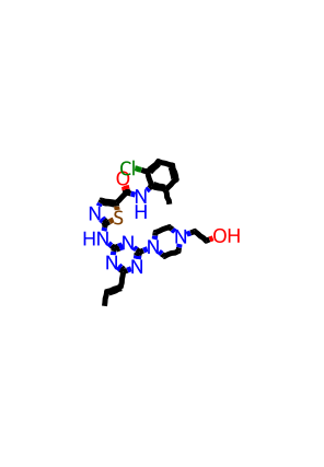 C/C=C/c1nc(Nc2ncc(C(=O)Nc3c(C)cccc3Cl)s2)nc(N2CCN(CCO)CC2)n1